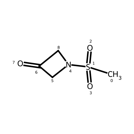 CS(=O)(=O)N1CC(=O)C1